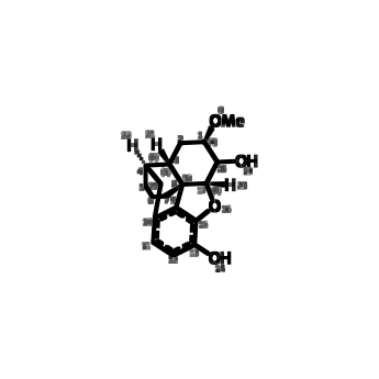 CO[C@@H]1C[C@H]2[C@@H]3CCC[C@@]24c2c(ccc(O)c2O[C@H]4C1O)C3